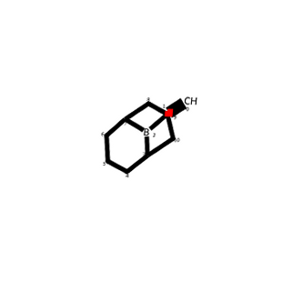 C#CB1C2CCCC1CCC2